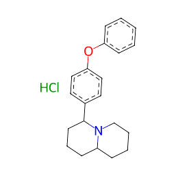 Cl.c1ccc(Oc2ccc(C3CCCC4CCCCN43)cc2)cc1